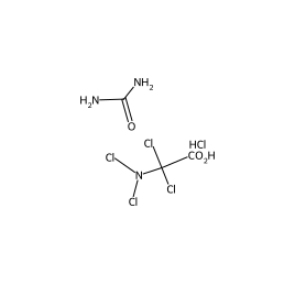 Cl.NC(N)=O.O=C(O)C(Cl)(Cl)N(Cl)Cl